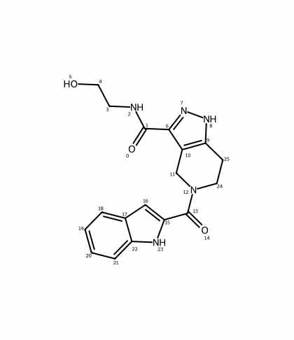 O=C(NCCO)c1n[nH]c2c1CN(C(=O)c1cc3ccccc3[nH]1)CC2